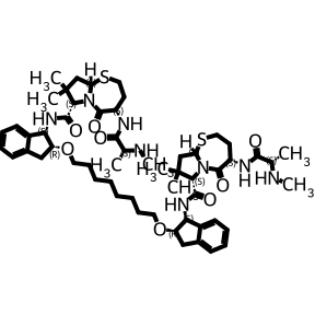 CN[C@@H](C)C(=O)N[C@H]1CCS[C@H]2CC(C)(C)[C@@H](C(=O)N[C@H]3c4ccccc4C[C@H]3OCCCCCCCCO[C@@H]3Cc4ccccc4[C@@H]3NC(=O)[C@H]3N4C(=O)[C@@H](NC(=O)[C@H](C)NC)CCS[C@H]4CC3(C)C)N2C1=O